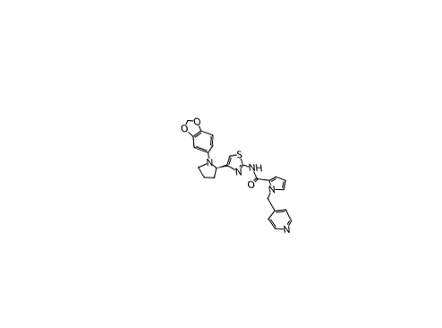 O=C(Nc1nc([C@H]2CCCN2c2ccc3c(c2)OCO3)cs1)c1cccn1Cc1ccncc1